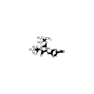 CC(C)(C)OC(=O)N[C@@H](Cc1cnc(C#N)cn1)C(=O)OC(C)(C)C